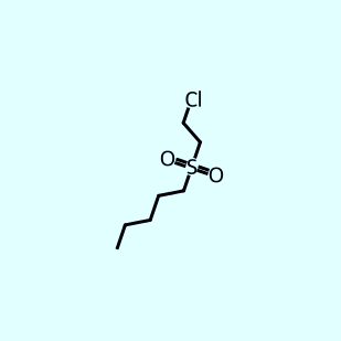 CCCCCS(=O)(=O)CCCl